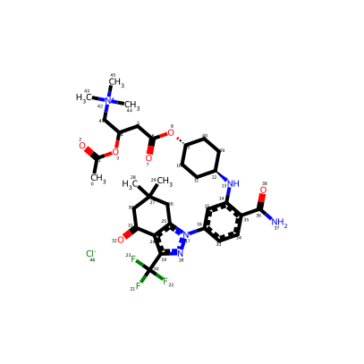 CC(=O)OC(CC(=O)O[C@H]1CC[C@H](Nc2cc(-n3nc(C(F)(F)F)c4c3CC(C)(C)CC4=O)ccc2C(N)=O)CC1)C[N+](C)(C)C.[Cl-]